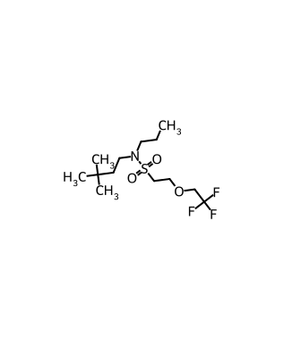 CCCN(CCC(C)(C)C)S(=O)(=O)CCOCC(F)(F)F